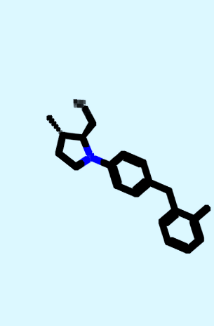 Cc1ccccc1Cc1ccc(N2CC[C@H](C)[C@H]2CC#N)cc1